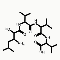 CC(C)CC(N)C(O)C(=O)NC(C(=O)NC(C(=O)NC(C(=O)O)C(C)C)C(C)C)C(C)C